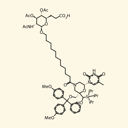 COc1ccc(C(OC[C@]2(C(O)[Si](C(C)C)(C(C)C)C(C)C)CN(C(=O)CCCCCCCCCCCO[C@@H]3O[C@H]([CH]CC(=O)O)[C@@H](OC(C)=O)[C@H](OC(C)=O)[C@H]3NC(C)=O)C[C@H](n3cc(C)c(=O)[nH]c3=O)O2)(c2ccccc2)c2ccc(OC)cc2)cc1